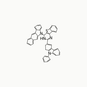 C1=C(C2=Nc3c(sc4ccccc34)C(n3c4ccccc4c4cc5ccccc5cc43)N2)CCc2c1c1ccccc1n2-c1ccccc1